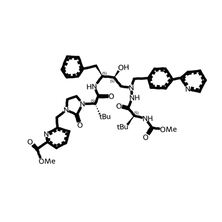 COC(=O)N[C@H](C(=O)NN(Cc1ccc(-c2ccccn2)cc1)C[C@H](O)[C@H](Cc1ccccc1)NC(=O)[C@@H](N1CCN(Cc2cccc(C(=O)OC)n2)C1=O)C(C)(C)C)C(C)(C)C